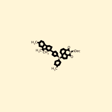 CCCCCCCCCCN1C(=O)c2cccc3c(N(c4ccc(C)cc4)c4ccc(-c5ccc6c(c5)C(C)(C)c5cc(C)ccc5-6)cc4)ccc(c23)C1=O